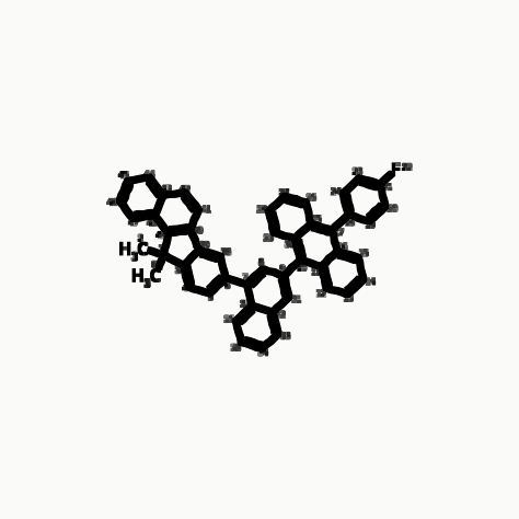 CC1(C)c2ccc(-c3cc(-c4c5ccccc5c(-c5ccc(F)cc5)c5ccccc45)cc4ccccc34)cc2-c2ccc3ccccc3c21